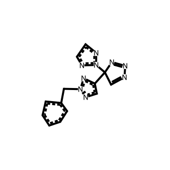 C1=NN=NC1(c1cnn(Cc2ccccc2)n1)n1nccn1